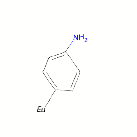 Nc1cc[c]([Eu])cc1